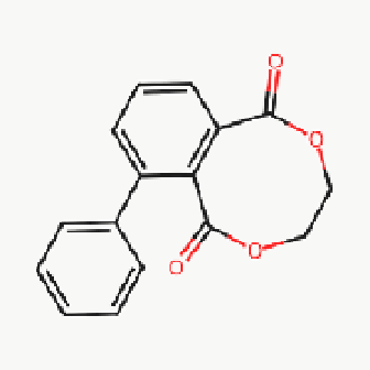 O=C1OCCOC(=O)c2c1cccc2-c1ccccc1